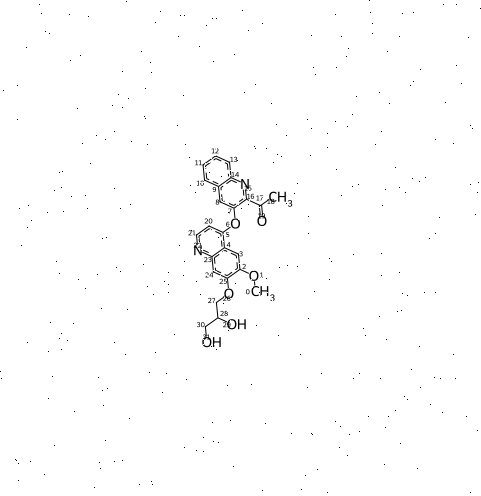 COc1cc2c(Oc3cc4ccccc4nc3C(C)=O)ccnc2cc1OCC(O)CO